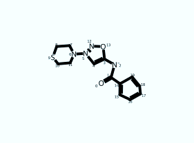 O=C([N-]c1c[n+](N2CCSCC2)no1)c1ccccc1